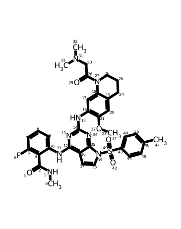 CNC(=O)c1c(F)cccc1Nc1nc(Nc2cc3c(cc2OC)CCCN3C(=O)CN(C)C)nc2c1ccn2S(=O)(=O)c1ccc(C)cc1